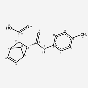 Cc1ccc(NC(=O)[C@@H]2C3C=CC(C3)[C@@H]2C(=O)O)cc1